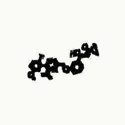 COC(=O)C[C@@H](O)c1cccc(OCc2cnc(-c3cc(OC)ccc3F)c(C(C)C)n2)c1